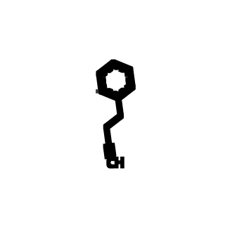 C#CCCc1[c]cccc1